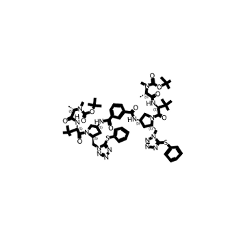 C[C@@H](C(=O)N[C@H](C(=O)N1C[C@@H](NC(=O)c2cccc(C(=O)N[C@H]3C[C@@H](Cn4nnnc4Sc4ccccc4)N(C(=O)[C@@H](NC(=O)[C@H](C)N(C)C(=O)OC(C)(C)C)C(C)(C)C)C3)c2)C[C@H]1Cn1nnnc1Sc1ccccc1)C(C)(C)C)N(C)C(=O)OC(C)(C)C